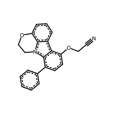 N#CCOc1ccc(-c2ccccc2)c2c1c1cccc3c1n2CCO3